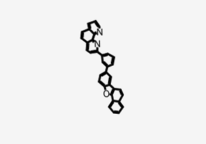 c1cc(-c2ccc3oc4c5ccccc5ccc4c3c2)cc(-c2ccc3ccc4cccnc4c3n2)c1